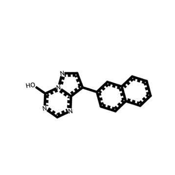 Oc1ncnc2c(-c3ccc4ccccc4c3)cnn12